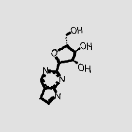 OC[C@H]1OC(c2ncc3c(n2)N=CC3)[C@H](O)[C@@H]1O